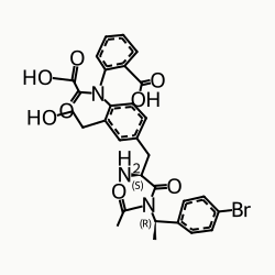 CC(=O)N(C(=O)[C@@H](N)Cc1ccc(N(C(=O)C(=O)O)c2ccccc2C(=O)O)c(CCO)c1)[C@H](C)c1ccc(Br)cc1